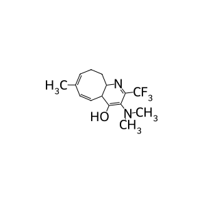 C/C1=C/CCC2N=C(C(F)(F)F)C(N(C)C)=C(O)C2C=C1